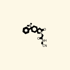 CN(C)C1(c2ccccc2)CCC2(CC1)CC(=O)N(CC(=O)NCC#N)C2